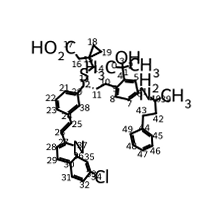 CC(C)(O)c1ccccc1CC[C@@H](SCC1(CC(=O)O)CC1)c1cccc(C=Cc2ccc3ccc(Cl)cc3n2)c1.CC(N)CCc1ccccc1